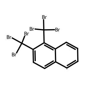 BrC(Br)(Br)c1ccc2[c]cccc2c1C(Br)(Br)Br